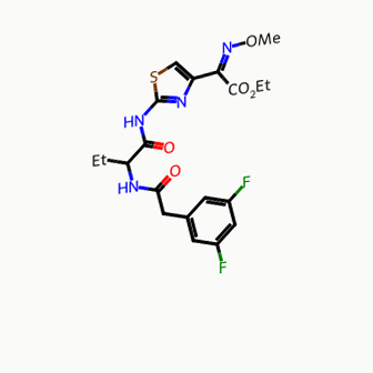 CCOC(=O)C(=NOC)c1csc(NC(=O)C(CC)NC(=O)Cc2cc(F)cc(F)c2)n1